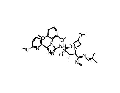 C=N/C(=N\C=C(C)C)C([C@H](C)S(=O)(=O)Nc1nnc(-c2cccc(OC)n2)n1-c1c(OC)cccc1OC)N1CC(OC)C1